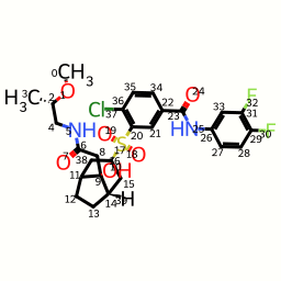 CO[C@@H](C)CNC(=O)C[C@@]1(O)C2CC[C@H]1C[C@H](S(=O)(=O)c1cc(C(=O)Nc3ccc(F)c(F)c3)ccc1Cl)C2